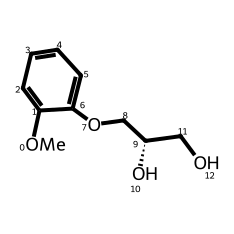 COc1ccccc1OC[C@@H](O)CO